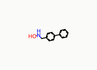 ONCc1ccc(-c2ccccc2)cc1